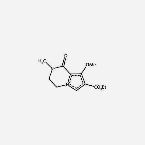 CCOC(=O)c1cn2c(c1OC)C(=O)N(C)CC2